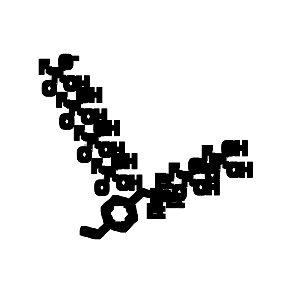 C=Cc1ccc(C[N+](CC)(CC)CC)cc1.O=P(O)(O)F.O=P(O)(O)F.O=P(O)(O)F.O=P(O)(O)F.O=P(O)(O)F.O=P([O-])(O)F